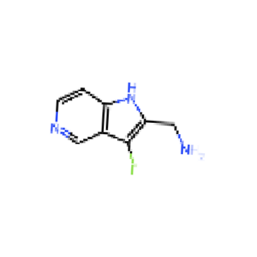 NCc1[nH]c2ccncc2c1F